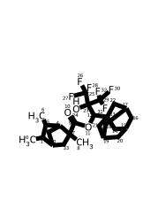 CC1C2CC(C1C)C(C)(C(=O)OC(C13CC4CC(CC(C4)C1)C3)C(O)(C(F)(F)F)C(F)(F)F)C2